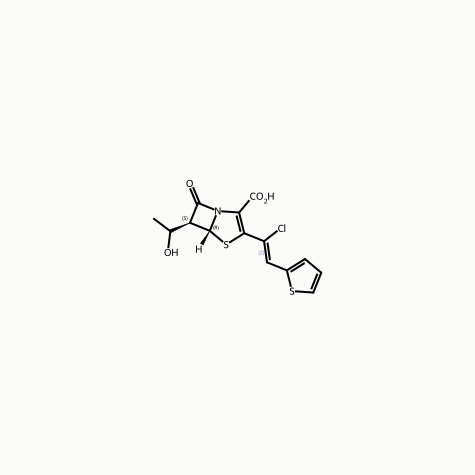 CC(O)[C@H]1C(=O)N2C(C(=O)O)=C(/C(Cl)=C/c3cccs3)S[C@H]12